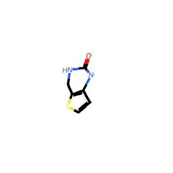 O=C1[N]c2ccsc2CN1